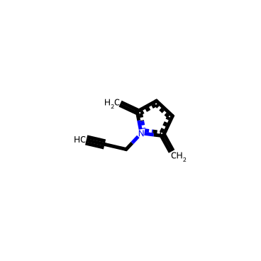 C#CCn1c(=C)ccc1=C